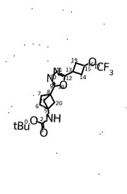 CC(C)(C)OC(=O)NC12CCC(c3nnc(C4CC(OC(F)(F)F)C4)o3)(C1)C2